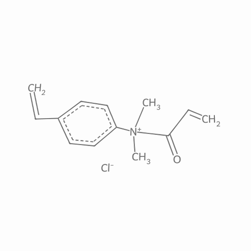 C=CC(=O)[N+](C)(C)c1ccc(C=C)cc1.[Cl-]